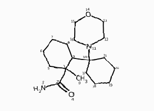 CC1(C(N)=O)CCCCC1C1(N2CCOCC2)CCCCC1